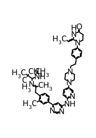 C/C=C1\NC(=O)CCN1c1ccc(CCN2CCN(c3ccc(Nc4cc(-c5ccc(C/C(C)=N/C(NC)C(C)(C)C)c(C)c5)ncn4)nc3)CC2)cc1